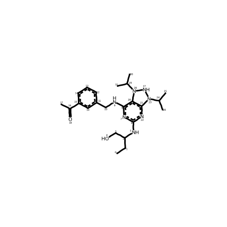 CCC(CO)Nc1nc(NCc2cccc(C(C)=O)c2)c2c(n1)N(C(C)C)NN2C(C)C